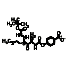 CSCC[C@H](NNC(=O)OC(C)(C)C)C(=O)N(N)NC(=O)Oc1ccc([N+](=O)[O-])cc1